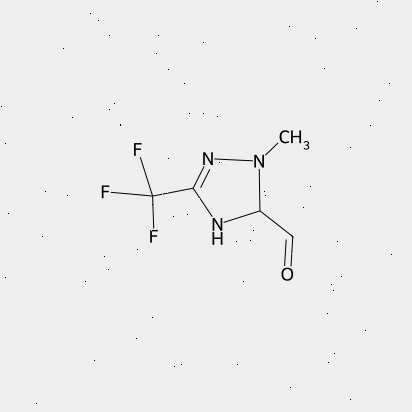 CN1N=C(C(F)(F)F)NC1C=O